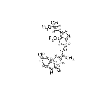 C[C@@H](COc1cc(C(F)(F)F)c2c(c1)ncn2C1CC(C)(O)C1)N1CCC2(CC1)C(=O)Nc1ccc(Cl)cc12